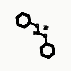 [Zr].c1ccc(ONOc2ccccc2)cc1